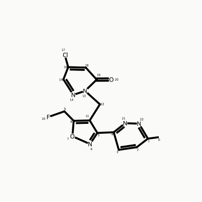 Cc1ccc(-c2noc(CF)c2Cn2ncc(Cl)cc2=O)nn1